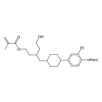 C=C(C)C(=O)OCCC(CCO)CC1CCC(c2ccc(CCCCC)c(CC)c2)CC1